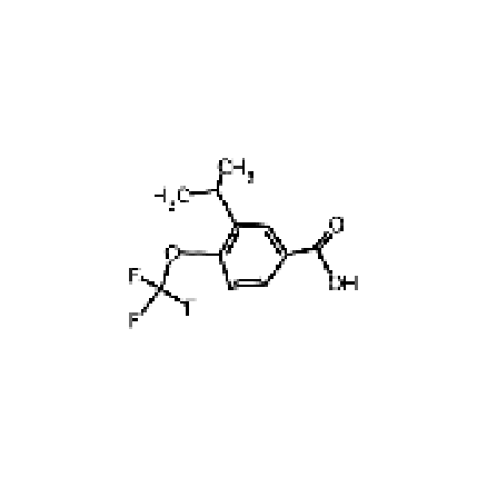 CC(C)c1cc(C(=O)O)ccc1OC(F)(F)F